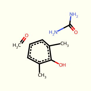 C=O.Cc1cccc(C)c1O.NC(N)=O